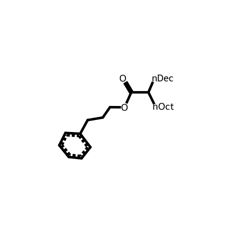 CCCCCCCCCCC(CCCCCCCC)C(=O)OCCCc1ccccc1